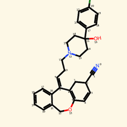 N#CC1C=CC2=C(C1)C(=CCCN1CCC(O)(c3ccc(Cl)cc3)CC1)c1ccccc1CO2